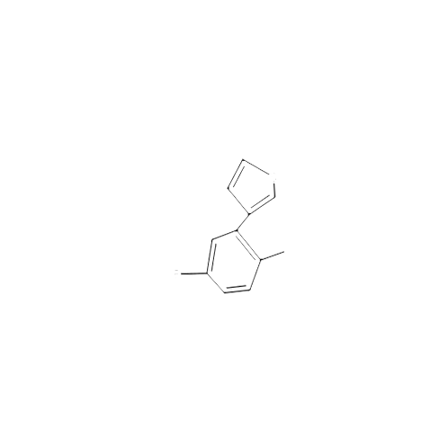 Cc1ccc(F)cc1-c1ccsc1